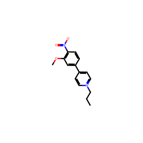 CCC[n+]1ccc(-c2ccc([N+](=O)[O-])c(OC)c2)cc1